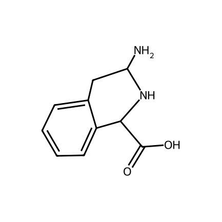 NC1Cc2ccccc2C(C(=O)O)N1